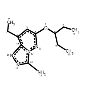 CCc1cc(OC(CC)CC)nn2c(N)nnc12